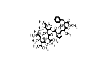 C=C(C)[C@H](NC(=O)[C@H](C(C)C)N(C)C[C@@H](C)N)C(=O)N(C)[C@@H]([C@@H](C)CC)[C@@H](CC(=O)N1CCC[C@H]1[C@H](OC)[C@@H](C)C(=O)N[C@@H](Cc1ccccc1)C(=O)OC)OC